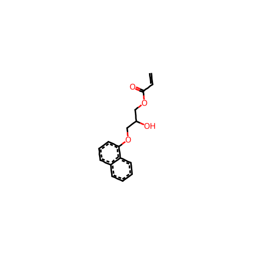 C=CC(=O)OCC(O)COc1cccc2ccccc12